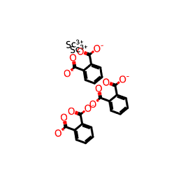 O=C([O-])c1ccccc1C(=O)[O-].O=C([O-])c1ccccc1C(=O)[O-].O=C([O-])c1ccccc1C(=O)[O-].[Sc+3].[Sc+3]